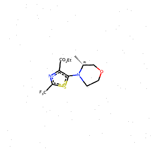 CCOC(=O)c1nc(C(F)(F)F)sc1N1CCOC[C@H]1C